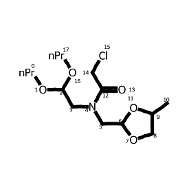 CCCOC(CN(CC1OCC(C)O1)C(=O)CCl)OCCC